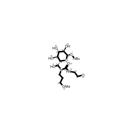 CCCCO[C@H]1O[C@H](C(O)N(CCCOC)C(=O)NCCCl)[C@@H](O)[C@H](O)[C@H]1O